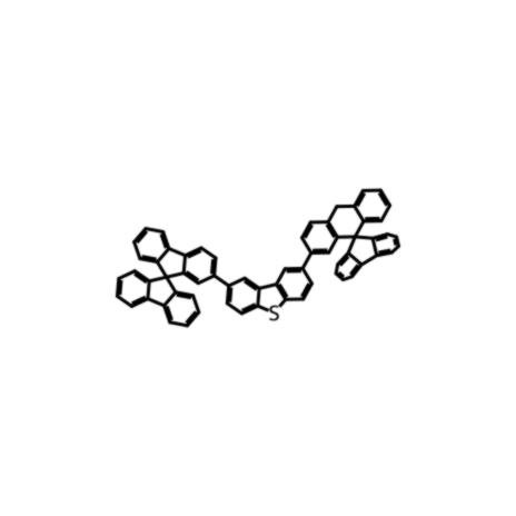 c1ccc2c(c1)Cc1ccc(-c3ccc4sc5ccc(-c6ccc7c(c6)C6(c8ccccc8-c8ccccc86)c6ccccc6-7)cc5c4c3)cc1C21c2ccccc2-c2ccccc21